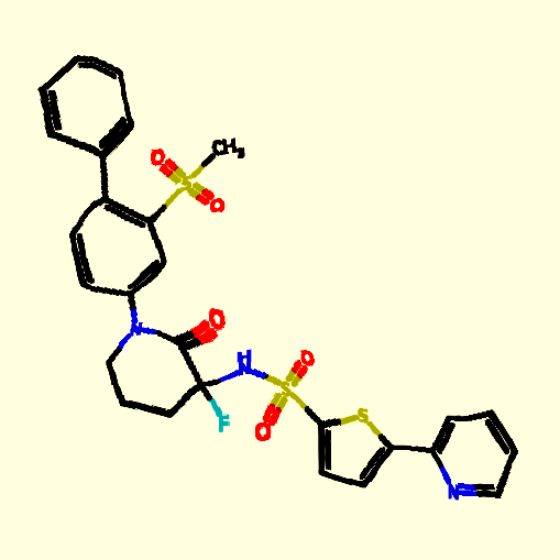 CS(=O)(=O)c1cc(N2CCCC(F)(NS(=O)(=O)c3ccc(-c4ccccn4)s3)C2=O)ccc1-c1ccccc1